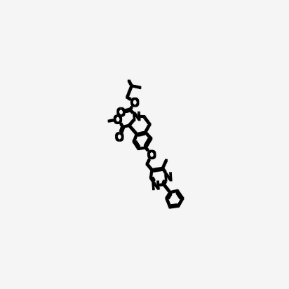 COC(=O)C1c2ccc(OCc3cnc(-c4ccccc4)nc3C)cc2CCN1C(=O)OCC(C)C